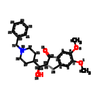 COc1cc2c(cc1OC)C(=O)[C@@H]([C@@H](O)C1CCN(Cc3ccccc3)CC1)C2